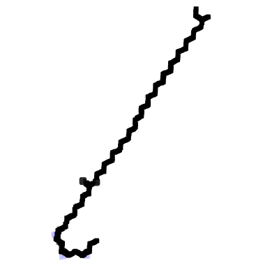 CC/C=C\C/C=C\C/C=C\CCCCCCCC(=O)OCCCCCCCCCCCCCCCCCCCCCCCCCCCCC(C)CC